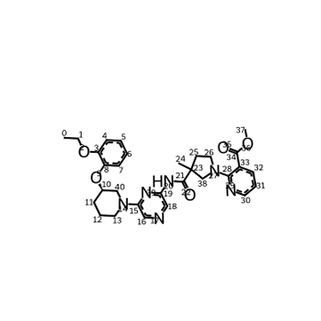 CCOc1ccccc1O[C@@H]1CCCN(c2cncc(NC(=O)C3(C)CCN(c4ncccc4C(=O)OC)C3)n2)C1